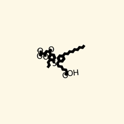 CCCCCCCCCc1ccc(C(CCCCC(=O)O)Sc2ccc3c(=O)cc(C(=O)OC)oc3c2CCC)cc1